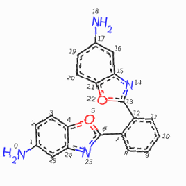 Nc1ccc2oc(-c3ccccc3-c3nc4cc(N)ccc4o3)nc2c1